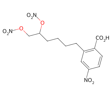 O=C(O)c1ccc([N+](=O)[O-])cc1CCCCC(CO[N+](=O)[O-])O[N+](=O)[O-]